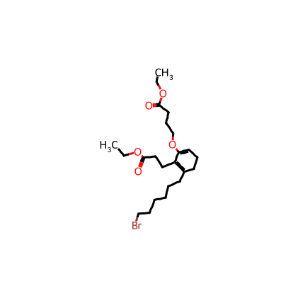 CCOC(=O)CCCOC1=CCCC(CCCCCCBr)=C1CCC(=O)OCC